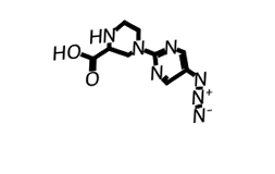 [N-]=[N+]=Nc1cnc(N2CCNC(C(=O)O)C2)nc1